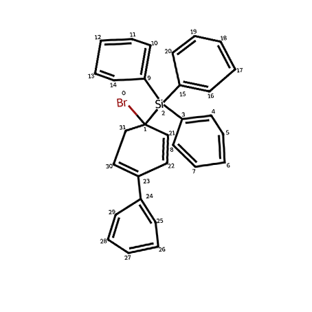 BrC1([Si](c2ccccc2)(c2ccccc2)c2ccccc2)C=CC(c2ccccc2)=CC1